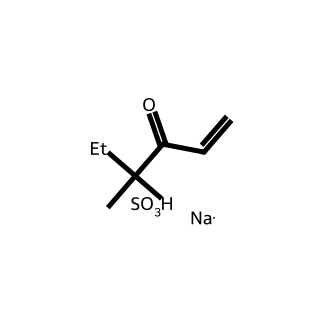 C=CC(=O)C(C)(CC)S(=O)(=O)O.[Na]